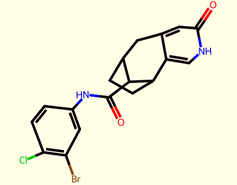 O=C(Nc1ccc(Cl)c(Br)c1)C1C2CCC1c1c[nH]c(=O)cc1C2